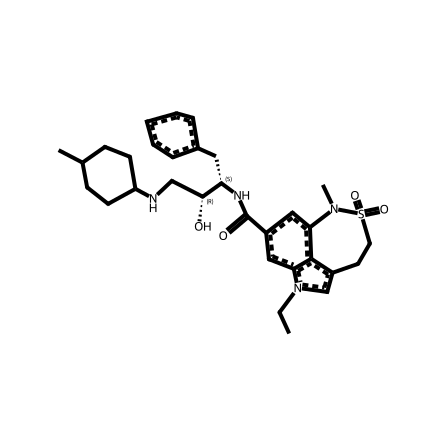 CCn1cc2c3c(cc(C(=O)N[C@@H](Cc4ccccc4)[C@H](O)CNC4CCC(C)CC4)cc31)N(C)S(=O)(=O)CC2